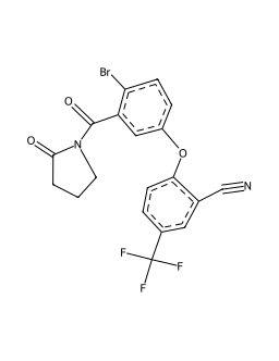 N#Cc1cc(C(F)(F)F)ccc1Oc1ccc(Br)c(C(=O)N2CCCC2=O)c1